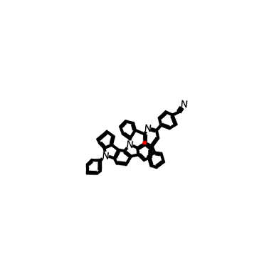 N#Cc1ccc(-c2cc(-c3ccccc3)cc(-c3ccccc3-n3c4ccccc4c4ccc5c(c6ccccc6n5-c5ccccc5)c43)n2)cc1